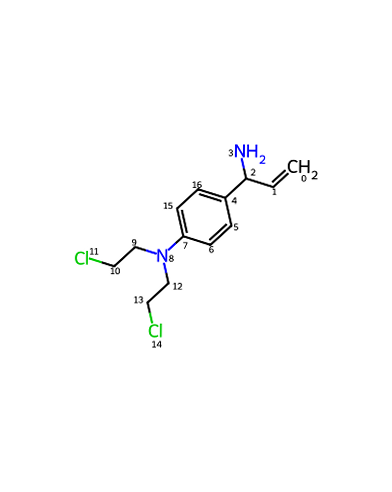 C=CC(N)c1ccc(N(CCCl)CCCl)cc1